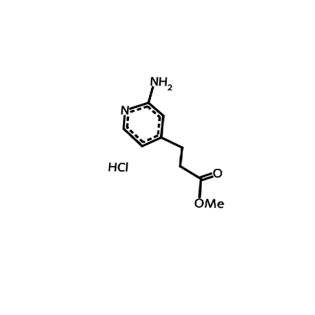 COC(=O)CCc1ccnc(N)c1.Cl